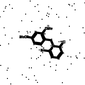 COc1ccc(CN2C(Br)=CC=CC2Cl)c(OC)c1